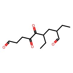 CCC(C=O)CC(CC)C(=O)C(=O)CCC=O